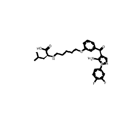 CC(C)C[C@H](NCCCCCOc1cccc(C(=O)c2cnn(-c3ccc(F)c(F)c3)c2N)c1)C(=O)O